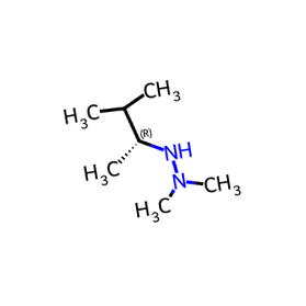 CC(C)[C@@H](C)NN(C)C